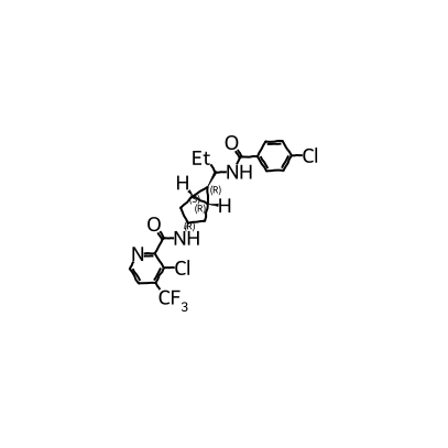 CCC(NC(=O)c1ccc(Cl)cc1)[C@H]1[C@@H]2C[C@H](NC(=O)c3nccc(C(F)(F)F)c3Cl)C[C@@H]21